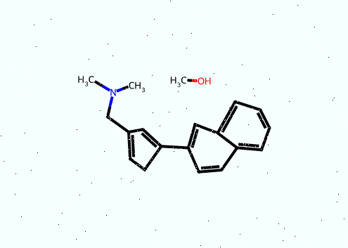 CN(C)CC1=CCC(c2ccc3ccccc3c2)=C1.CO